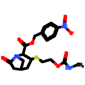 CNC(=O)OCCSC1CC2CC(=O)N(C2)C1C(=O)OCc1ccc([N+](=O)[O-])cc1